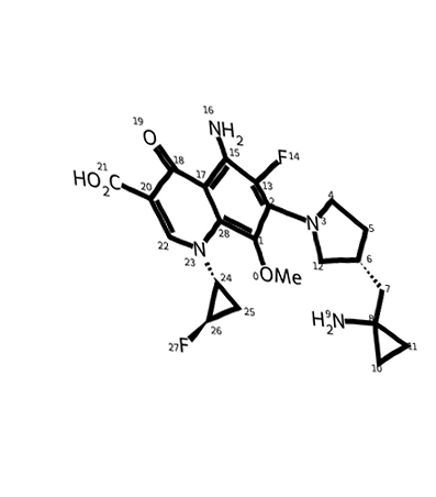 COc1c(N2CC[C@H](CC3(N)CC3)C2)c(F)c(N)c2c(=O)c(C(=O)O)cn([C@@H]3C[C@H]3F)c12